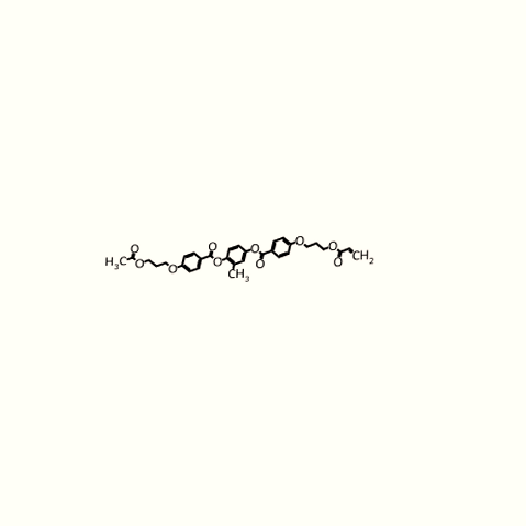 C=CC(=O)OCCCOc1ccc(C(=O)Oc2ccc(OC(=O)c3ccc(OCCCOC(C)=O)cc3)c(C)c2)cc1